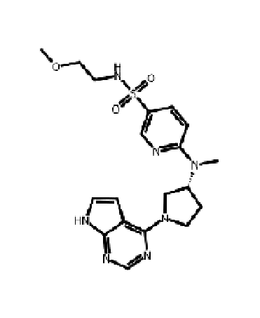 COCCNS(=O)(=O)c1ccc(N(C)[C@@H]2CCN(c3ncnc4[nH]ccc34)C2)nc1